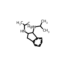 CC(C)NC1Cc2ccccc2C1NC(C)C